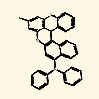 Cc1cc2c3c(c1)Oc1cc(N(c4ccccc4)c4ccccc4)c4ccccc4c1B3c1ccccc1O2